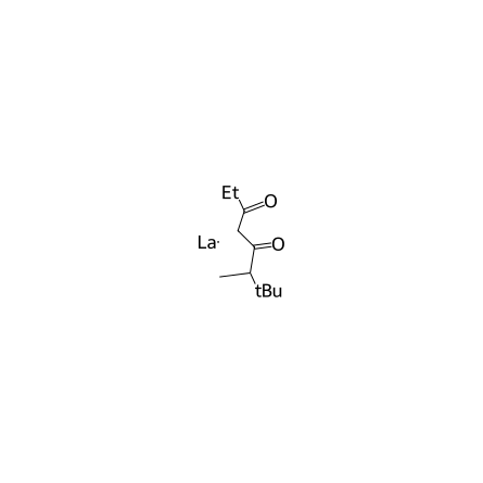 CCC(=O)CC(=O)C(C)C(C)(C)C.[La]